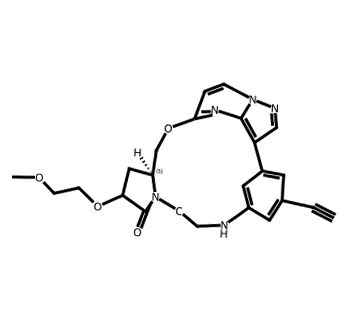 C#Cc1cc2cc(c1)-c1cnn3ccc(nc13)OC[C@@H]1CC(OCCOC)C(=O)N1CCN2